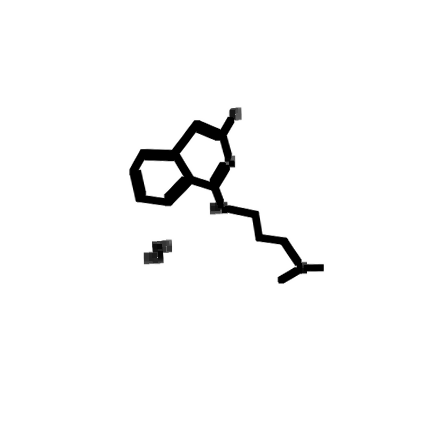 CN(C)CCCNc1nc(Cl)cc2ccccc12.Cl.Cl